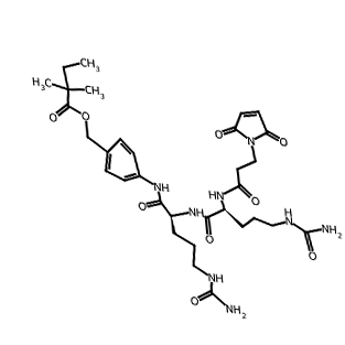 CCC(C)(C)C(=O)OCc1ccc(NC(=O)[C@H](CCCNC(N)=O)NC(=O)[C@H](CCCNC(N)=O)NC(=O)CCN2C(=O)C=CC2=O)cc1